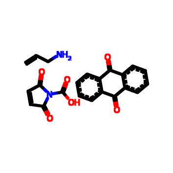 C=CCN.O=C(O)N1C(=O)C=CC1=O.O=C1c2ccccc2C(=O)c2ccccc21